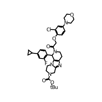 CC(C)(C)OC(=O)N1CCn2c(nc3c2C(c2ccc(C4CC4)cc2F)N(C(=O)COc2ccc(N4CCOCC4)cc2Cl)CC3)C1